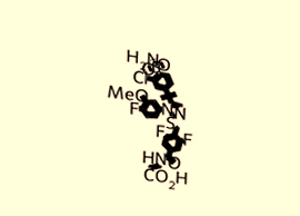 COc1cc(-n2c(C(C)(C)c3ccc(S(N)(=O)=O)c(Cl)c3)cnc2SCc2c(F)cc(C(=O)NCCC(=O)O)cc2F)ccc1F